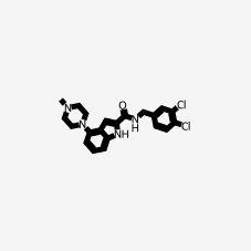 CN1CCN(c2cccc3[nH]c(C(=O)NCc4ccc(Cl)c(Cl)c4)cc23)CC1